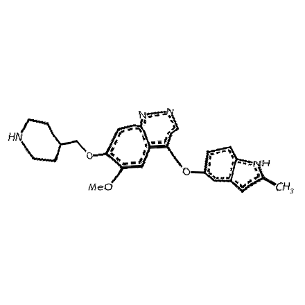 COc1cc2c(Oc3ccc4[nH]c(C)cc4c3)cnnc2cc1OCC1CCNCC1